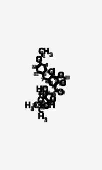 CCOc1ccc(Cc2cc(C(=O)[C@@H]3O[C@H]4OC(C)(C)O[C@H]4[C@@H]3O)c3c(c2Cl)OCO3)cc1